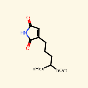 CCCCCCCCC(CCCCCC)CCCC1=CC(=O)NC1=O